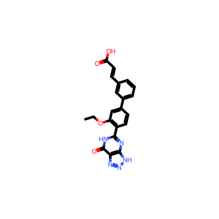 CCOc1cc(-c2cccc(C=CC(=O)O)c2)ccc1-c1nc2[nH]nnc2c(=O)[nH]1